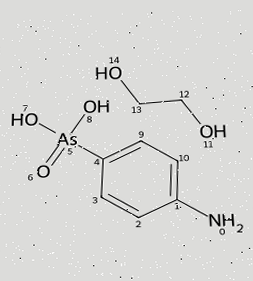 Nc1ccc([As](=O)(O)O)cc1.OCCO